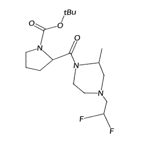 CC1CN(CC(F)F)CCN1C(=O)C1CCCN1C(=O)OC(C)(C)C